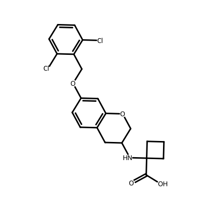 O=C(O)C1(NC2COc3cc(OCc4c(Cl)cccc4Cl)ccc3C2)CCC1